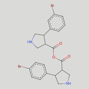 O=C(OC(=O)C1CNCC1c1cccc(Br)c1)C1CNCC1c1ccc(Br)cc1